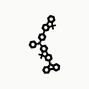 CC1(C)c2ccccc2-c2ccc(-c3ccc(N(c4ccccc4)c4ccc5c(c4)C(C)(C)c4cc(-n6c7ccccc7c7ccccc76)ccc4-5)cc3)cc21